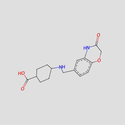 O=C1COc2ccc(CNC3CCC(C(=O)O)CC3)cc2N1